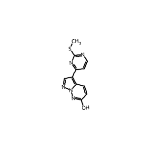 CSc1nccc(-c2cnn3nc(O)ccc23)n1